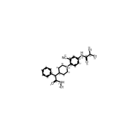 CCNC(=O)C(c1ccccc1)C1CCN(c2ccc(NC(=O)C(CC)CC)cc2C#N)CC1